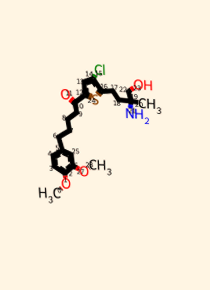 COc1ccc(CCCCC(=O)c2cc(Cl)c(CCC(C)(N)CO)s2)cc1OC